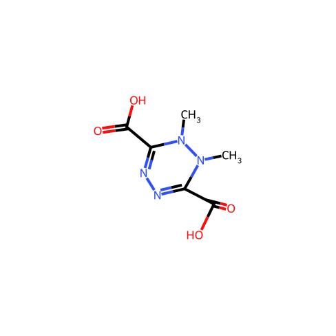 CN1C(C(=O)O)=NN=C(C(=O)O)N1C